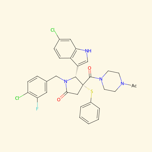 CC(=O)N1CCN(C(=O)[C@@]2(Sc3ccccc3)CC(=O)N(Cc3ccc(Cl)c(F)c3)[C@@H]2c2c[nH]c3cc(Cl)ccc23)CC1